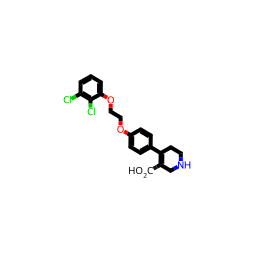 O=C(O)C1=C(c2ccc(OCCOc3cccc(Cl)c3Cl)cc2)CCNC1